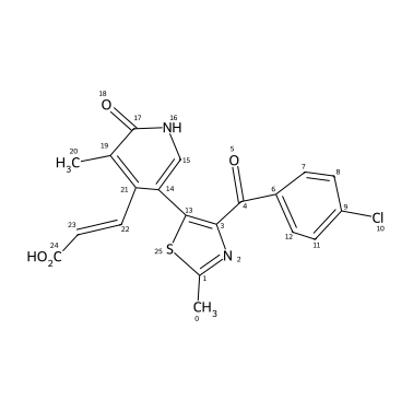 Cc1nc(C(=O)c2ccc(Cl)cc2)c(-c2c[nH]c(=O)c(C)c2C=CC(=O)O)s1